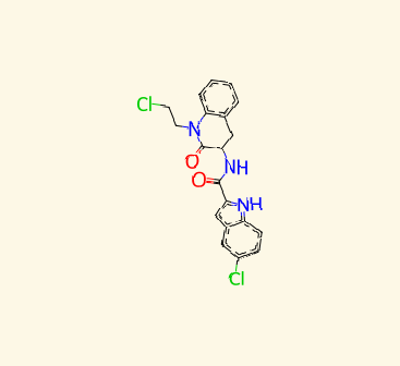 O=C(NC1Cc2ccccc2N(CCCl)C1=O)c1cc2cc(Cl)ccc2[nH]1